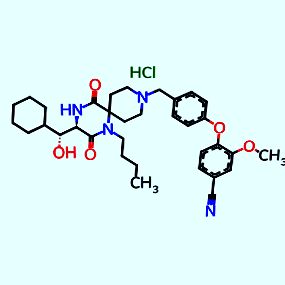 CCCCN1C(=O)[C@@H]([C@H](O)C2CCCCC2)NC(=O)C12CCN(Cc1ccc(Oc3ccc(C#N)cc3OC)cc1)CC2.Cl